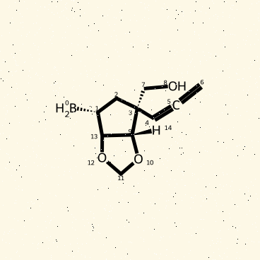 B[C@@H]1C[C@](C=C=C)(CO)[C@@H]2OCOC12